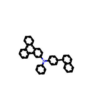 c1ccc(N(c2ccc(-c3cccc4ccccc34)cc2)c2ccc3c4ccccc4c4ccccc4c3c2)cc1